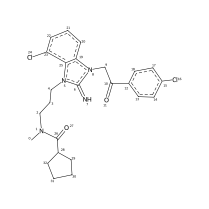 CN(CCCn1c(=N)n(CC(=O)c2ccc(Cl)cc2)c2cccc(Cl)c21)C(=O)C1CCCC1